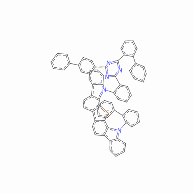 c1ccc(-c2ccc(-c3nc(-c4ccccc4-c4ccccc4)nc(-c4ccccc4-n4c5ccccc5c5ccc6c7ccc8c9ccccc9n(-c9ccccc9-c9ccccc9)c8c7sc6c54)n3)cc2)cc1